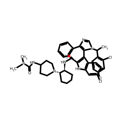 C=C(N[C@H]1CCCC[C@@H]1N1CCC(NC(=O)N(C)C)CC1)c1[nH]c2cc(Cl)ccc2c1-c1c(-c2ccccc2)ncn1C(C)c1ccc(Cl)cc1Cl